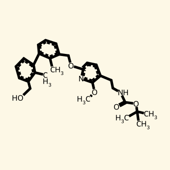 COc1nc(OCc2cccc(-c3cccc(CO)c3C)c2C)ccc1CCNC(=O)OC(C)(C)C